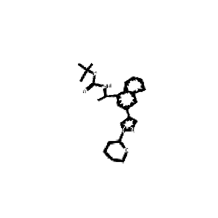 CC(NC(=O)OC(C)(C)C)c1cc(-c2cnn(C3CCCCO3)c2)cc2ccccc12